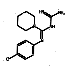 N=C(N)N/C(=N/c1ccc(Cl)cc1)N1CCCCC1